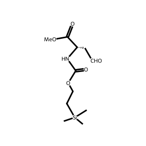 COC(=O)[C@H](CC=O)NC(=O)OCC[Si](C)(C)C